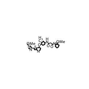 COCn1cnc(-c2cc3nccc(Oc4ccc(NC(=O)CC(=O)Nc5ccccc5OC)cc4C)c3s2)c1